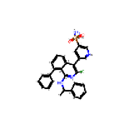 CC(Nc1nc(Cl)c(-c2cncc(S(N)(=O)=O)c2)c2cccc(-c3ccccc3)c12)c1ccccc1